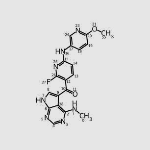 CNc1ncnc2[nH]cc(C(=O)c3ccc(Nc4ccc(OC)nc4)nc3F)c12